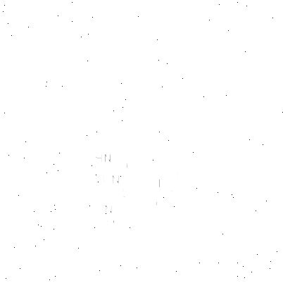 CCCC1CCC(c2ccc(NC(=O)NSc3noc4cccc(OCC(F)(F)F)c34)cc2)CC1